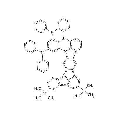 CC(C)(C)c1ccc2c(c1)c1cc(C(C)(C)C)cc3c4cc5c6cccc7c6n(c5cc4n2c13)-c1cc(N(c2ccccc2)c2ccccc2)cc2c1B7c1ccccc1N2c1ccccc1